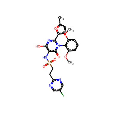 COc1cccc(OC)c1-n1c(-c2ccc(C)o2)nc(O)c(NS(=O)(=O)CCc2ncc(F)cn2)c1=O